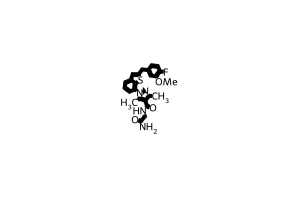 COc1cc(Cc2cc3cccc(-n4nc(C)c(C(=O)NCC(N)=O)c4C)c3s2)ccc1F